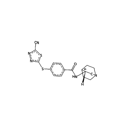 N#Cc1nnc(Sc2ccc(C(=O)N[C@H]3CN4CCC3CC4)cc2)s1